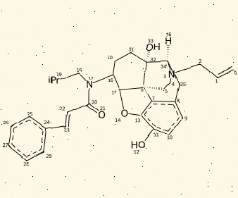 C=CCN1CC[C@]23c4c5ccc(O)c4OC2C(N(CC(C)C)C(=O)/C=C/c2ccccc2)CC[C@@]3(O)[C@H]1C5